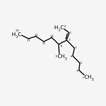 [CH2]C=C(CCCCC)C(C)CCCCC